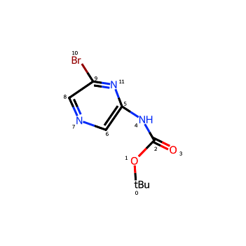 CC(C)(C)OC(=O)Nc1cncc(Br)n1